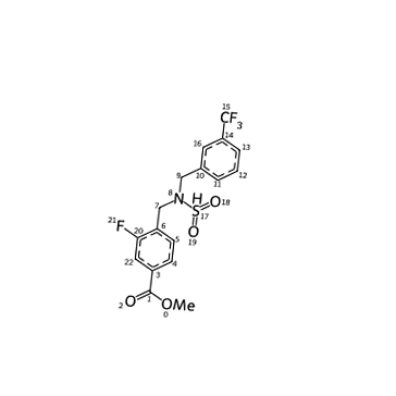 COC(=O)c1ccc(CN(Cc2cccc(C(F)(F)F)c2)[SH](=O)=O)c(F)c1